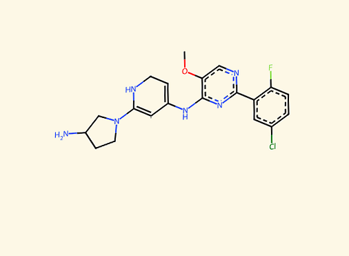 COc1cnc(-c2cc(Cl)ccc2F)nc1NC1=CCNC(N2CCC(N)C2)=[C]1